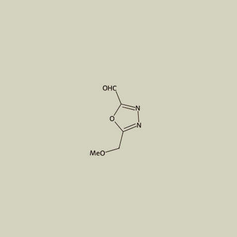 COCc1nnc(C=O)o1